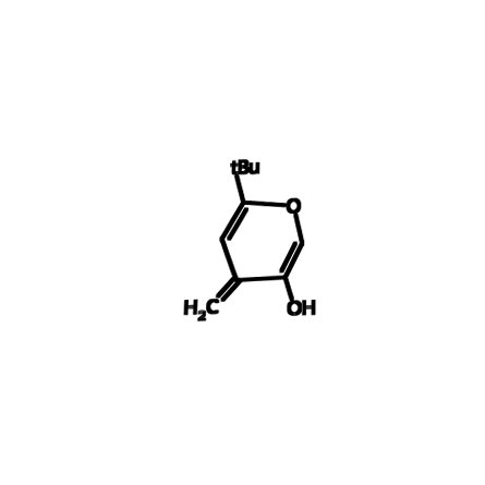 C=C1C=C(C(C)(C)C)OC=C1O